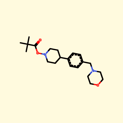 CC(C)(C)C(=O)ON1CCC(c2ccc(CN3CCOCC3)cc2)CC1